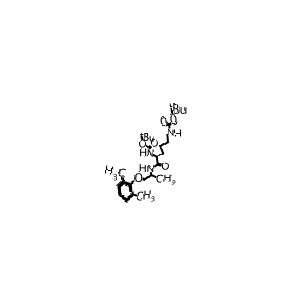 Cc1cccc(C)c1OCC(C)NC(=O)[C@H](CCCCNC(=O)OC(C)(C)C)NC(=O)OC(C)(C)C